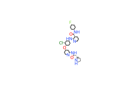 O=C(C[C@@H]1CCCN1)Nc1cc(Oc2ccc(Nc3ncccc3C(=O)Nc3ccc(F)cc3)cc2Cl)ccn1